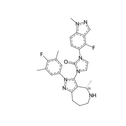 Cc1cc(-n2nc3c(c2-n2ccn(-c4ccc5c(cnn5C)c4F)c2=O)[C@H](C)NCCC3)cc(C)c1F